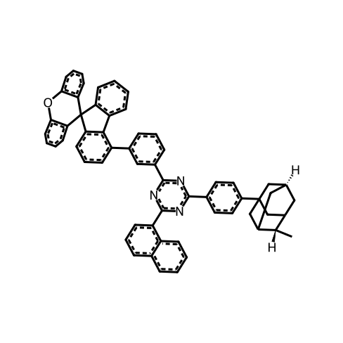 C[C@H]1C2CC3(c4ccc(-c5nc(-c6cccc(-c7cccc8c7-c7ccccc7C87c8ccccc8Oc8ccccc87)c6)nc(-c6cccc7ccccc67)n5)cc4)CC1C[C@H](C2)C3